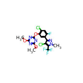 COc1nc(OC)nc(Oc2cc(-c3nn(C)c(C(F)(F)F)c3Cl)c(F)cc2Cl)n1